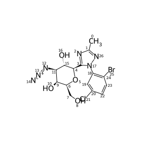 Cc1nc([C@H]2O[C@@H](CO)[C@@H](O)[C@@H](N=[N+]=[N-])[C@@H]2O)n(-c2cc(Cl)ccc2Br)n1